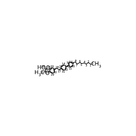 CCCCCCCCCc1ccc(-c2ccc(CCc3ccc(OC(C)C(=O)O)cc3)cc2)cc1